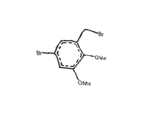 COc1cc(Br)cc(CBr)c1OC